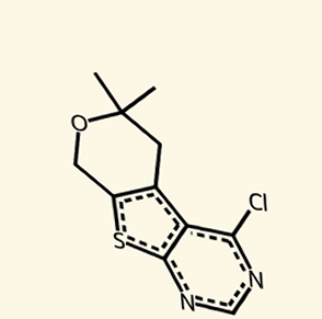 CC1(C)Cc2c(sc3ncnc(Cl)c23)CO1